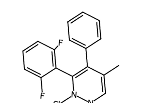 CC1=CNN(Cl)C(c2c(F)cccc2F)=C1c1ccccc1